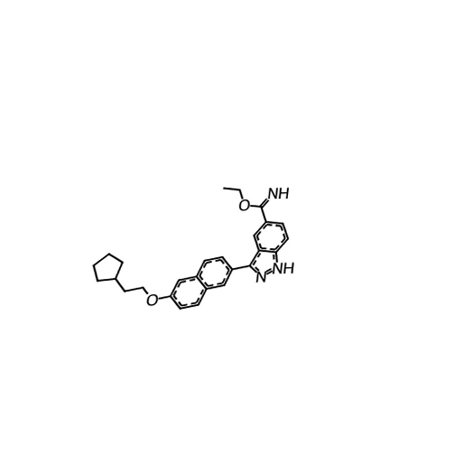 CCOC(=N)c1ccc2[nH]nc(-c3ccc4cc(OCCC5CCCC5)ccc4c3)c2c1